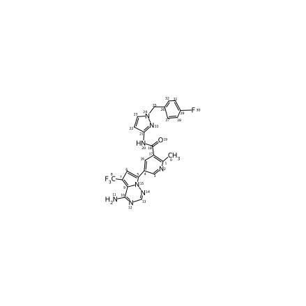 Cc1ncc(-c2cc(C(F)(F)F)c3c(N)ncnn23)cc1C(=O)Nc1ccn(Cc2ccc(F)cc2)n1